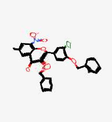 Cc1cc([N+](=O)[O-])c2oc(-c3ccc(OCc4ccccc4)c(Cl)c3)c(OCc3ccccc3)c(=O)c2c1